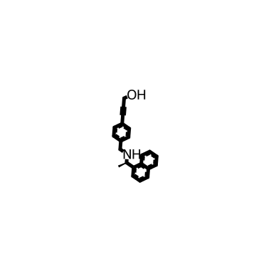 C[C@@H](NCc1ccc(C#CCO)cc1)c1cccc2ccccc12